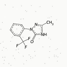 Cc1nn(-c2ccccc2C(F)(F)F)c(=O)[nH]1